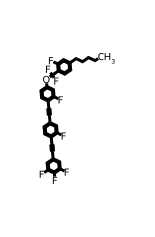 CCCCCc1ccc(C(F)(F)Oc2ccc(C#Cc3ccc(C#Cc4cc(F)c(F)c(F)c4)c(F)c3)c(F)c2)c(F)c1